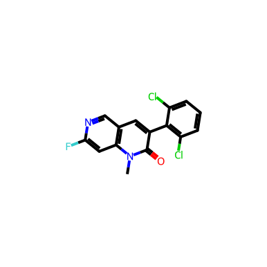 Cn1c(=O)c(-c2c(Cl)cccc2Cl)cc2cnc(F)cc21